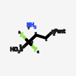 CCCCCCCC(F)(F)S(=O)(=O)O.N